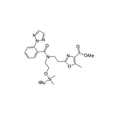 COC(=O)c1nc(CCN(CCO[Si](C)(C)C(C)(C)C)C(=O)c2ccccc2-n2nccn2)oc1C